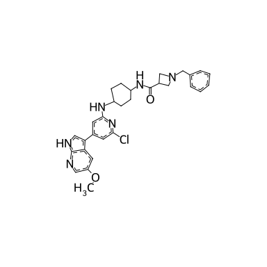 COc1cnc2[nH]cc(-c3cc(Cl)nc(NC4CCC(NC(=O)C5CN(Cc6ccccc6)C5)CC4)c3)c2c1